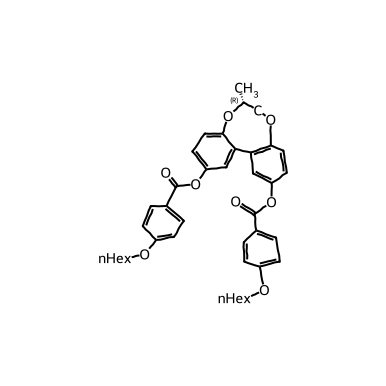 CCCCCCOc1ccc(C(=O)Oc2ccc3c(c2)-c2cc(OC(=O)c4ccc(OCCCCCC)cc4)ccc2O[C@H](C)CO3)cc1